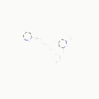 Cc1cc(N)nc(C[C@@H]2CNC[C@@H]2OCCNCC(F)(F)c2ccccn2)c1